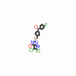 Cn1c(SCc2ccc(C(=O)c3ccc(F)cc3)cc2)nc2c(c(Cl)c(Cl)n2C)c1=O